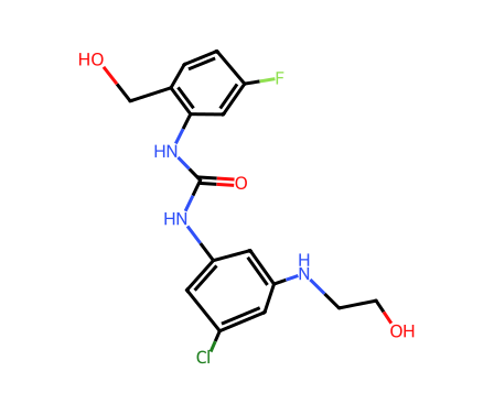 O=C(Nc1cc(Cl)cc(NCCO)c1)Nc1cc(F)ccc1CO